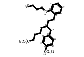 CCOC(=O)CCCCC(CCc1ccccc1OCCCBr)Cc1ccc(C(=O)OCC)cc1